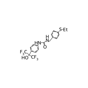 CCSc1ccc(CNC(=O)Nc2ccc(C(O)(C(F)(F)F)C(F)(F)F)cc2)cc1